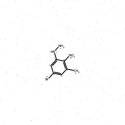 Cc1cc(Br)cc(NN)c1[N+](=O)[O-]